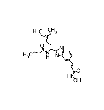 CCCC(=O)NC(CCN(CC)CC)c1nc2cc(C=CC(=O)NO)ccc2[nH]1